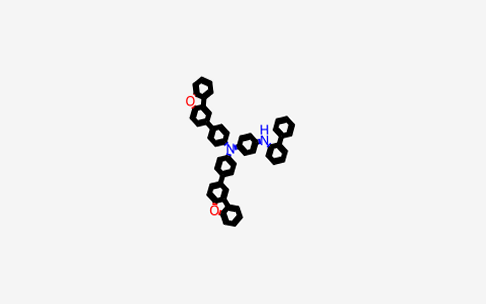 c1ccc(-c2ccccc2Nc2ccc(N(c3ccc(-c4ccc5oc6ccccc6c5c4)cc3)c3ccc(-c4ccc5oc6ccccc6c5c4)cc3)cc2)cc1